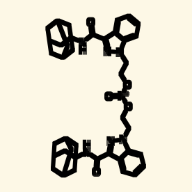 O=C(NC12CC3CC(CC(C3)C1)C2)c1nn(CCO[N+](=O)OCCn2nc(C(=O)NC34CC5CC(CC(C5)C3)C4)c3ccccc32)c2ccccc12